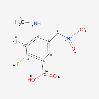 CNc1c(C[N+](=O)[O-])cc(C(=O)O)c(F)c1Cl